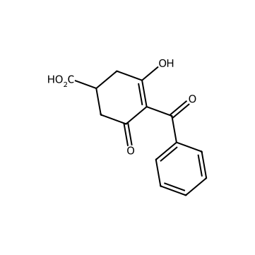 O=C1CC(C(=O)O)CC(O)=C1C(=O)c1ccccc1